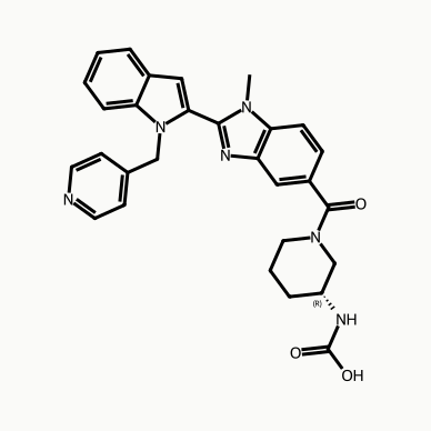 Cn1c(-c2cc3ccccc3n2Cc2ccncc2)nc2cc(C(=O)N3CCC[C@@H](NC(=O)O)C3)ccc21